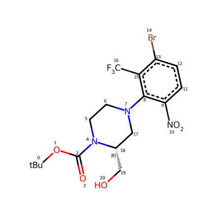 CC(C)(C)OC(=O)N1CCN(c2c([N+](=O)[O-])ccc(Br)c2C(F)(F)F)C[C@@H]1CO